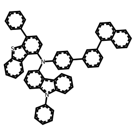 c1ccc(-c2ccc(N(c3ccc(-c4cccc(-c5cccc6ccccc56)c4)cc3)c3cccc4c3c3ccccc3n4-c3ccccc3)c3c2sc2ccccc23)cc1